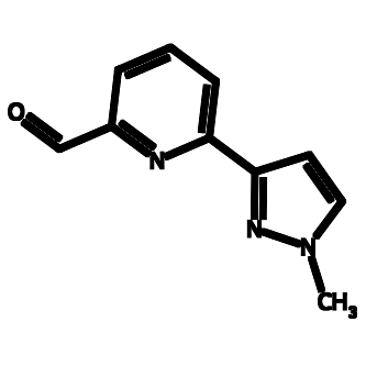 Cn1ccc(-c2cccc(C=O)n2)n1